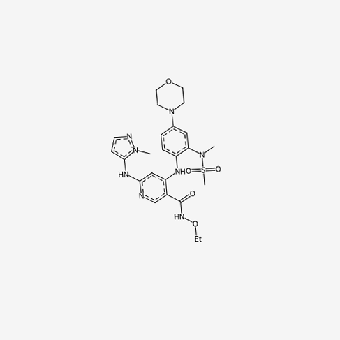 CCONC(=O)c1cnc(Nc2ccnn2C)cc1Nc1ccc(N2CCOCC2)cc1N(C)S(C)(=O)=O